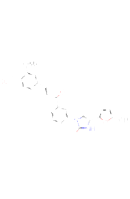 COc1cc(/C=C/C(=O)c2cccc(-n3cc(-c4ccc(C)o4)[nH]c3=O)c2)ccc1CO